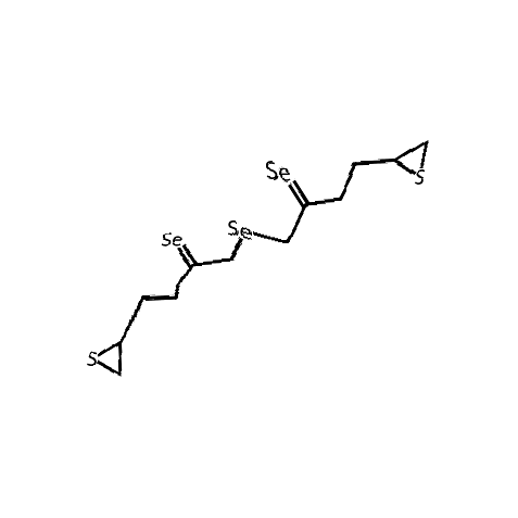 [Se]=C(CCC1CS1)C[Se]CC(=[Se])CCC1CS1